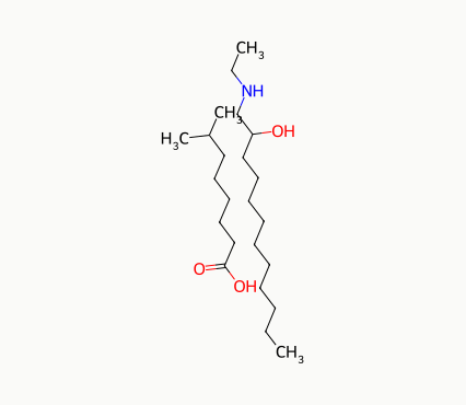 CC(C)CCCCCC(=O)O.CCCCCCCCCCC(O)CNCC